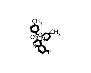 Cc1ccc(S(=O)(=O)c2cnc3ccc(F)cc3c2N2CCC(C)CC2)cc1